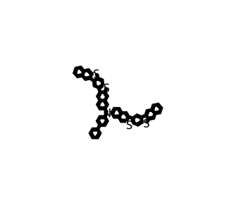 c1ccc(-c2ccc(N(c3ccc4cc5c(cc4c3)sc3cc4sc6cc7ccccc7cc6c4cc35)c3ccc4cc5c(cc4c3)sc3cc4sc6cc7ccccc7cc6c4cc35)cc2)cc1